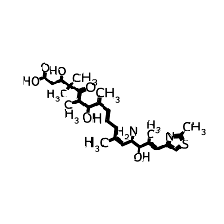 C/C(=C/C(N)C(O)/C(C)=C/c1csc(C)n1)CCCC(C)C(O)C(C)C(=O)C(C)(C)C(O)CC(=O)O